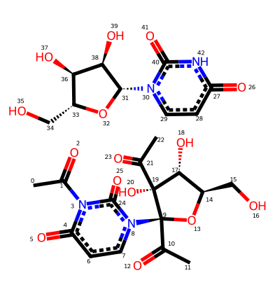 CC(=O)n1c(=O)ccn([C@]2(C(C)=O)O[C@H](CO)[C@@H](O)[C@]2(O)C(C)=O)c1=O.O=c1ccn([C@@H]2O[C@H](CO)[C@@H](O)[C@H]2O)c(=O)[nH]1